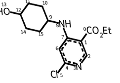 CCOC(=O)c1cnc(Cl)cc1NC1CCC(O)CC1